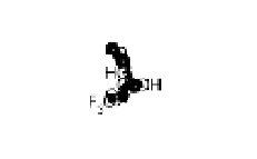 O=C(c1ccc(O)cc1OC[C@@H](O)CN1CCC2(CC1)Cc1ccccc1O2)N1CC[C@H](OC(=O)C(F)(F)F)C1